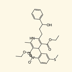 CCOC(=O)C1=C(C)NC(CCC(O)c2ccccc2)=C(C(=O)OCC)C1c1cc(SC)ccc1[N+](=O)[O-]